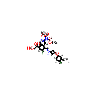 CC(C)(C)OC(=O)N(C(=O)OC(C)(C)C)c1cc2c(CNC3CC(Oc4ccc(F)c(C(F)(F)F)c4)C3)c(F)cc(C(O)CO)c2cn1